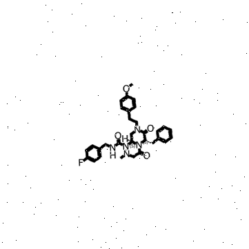 COc1ccc(CCN2C[C@H]3N(C(=O)CN(C)N3C(=O)NCc3ccc(F)cc3)[C@@H](Cc3ccccc3)C2=O)cc1